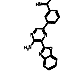 CCCC(=N)c1cccc(-c2cnc(N)c(-c3nc4ccccc4o3)n2)c1